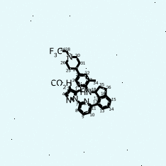 CCc1c(C(=O)O)cnn1-c1cccc(-c2cccc3c2C(Nc2ccc(C4CCN(CC(F)(F)F)CC4)cc2C)CC3)n1